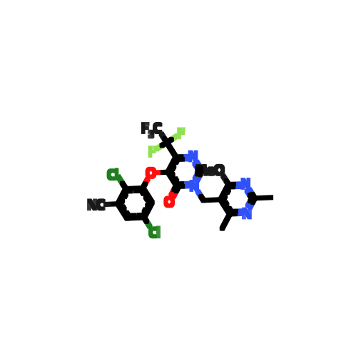 COc1nc(C)nc(C)c1Cn1cnc(C(F)(F)C(F)(F)F)c(Oc2cc(Cl)cc(C#N)c2Cl)c1=O